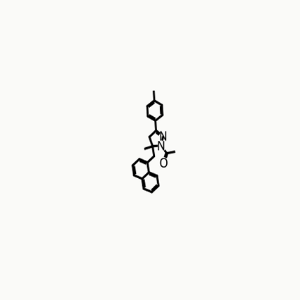 CC(=O)N1N=C(c2ccc(C)cc2)CC1(C)Cc1cccc2ccccc12